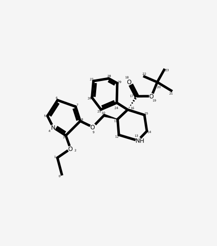 CCOc1ncccc1OC[C@@H]1CNCC[C@]1(C(=O)OC(C)(C)C)c1ccccc1